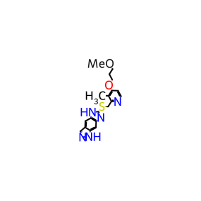 COCCCOc1ccnc(CSc2nc3cc4[nH]ncc4cc3[nH]2)c1C